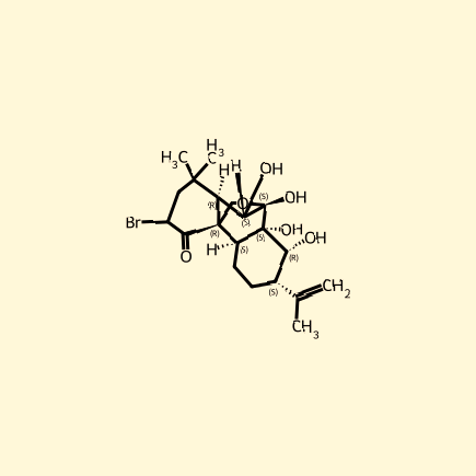 C=C(C)[C@@H]1CC[C@H]2[C@@]34CO[C@@](O)([C@@H](O)[C@@H]3C(C)(C)CC(Br)C4=O)[C@@]2(O)[C@@H]1O